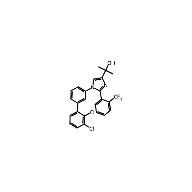 CC(C)(O)c1cn(-c2cccc(-c3cccc(Cl)c3Cl)c2)c(-c2ccccc2C(F)(F)F)n1